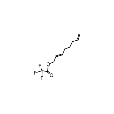 C=CCCCC=CCOC(=O)C(F)(F)F